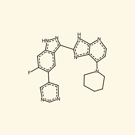 Fc1cc2[nH]nc(-c3nc4c(N5CCCCC5)ccnc4[nH]3)c2cc1-c1cncnc1